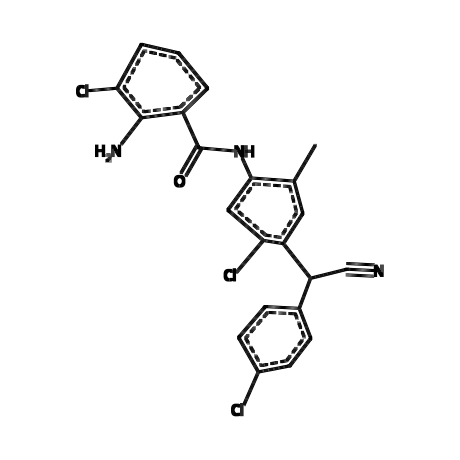 Cc1cc(C(C#N)c2ccc(Cl)cc2)c(Cl)cc1NC(=O)c1cccc(Cl)c1N